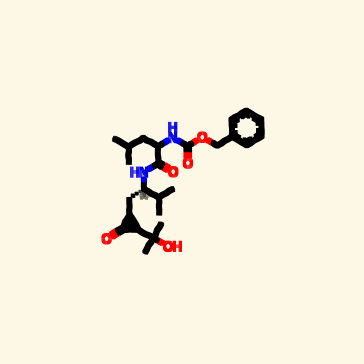 CC(C)CC(NC(=O)OCc1ccccc1)C(=O)N[C@@H](Cc1c(C(C)(C)O)c1=O)C(C)C